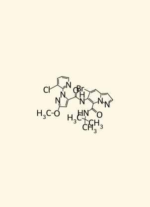 COc1cc(C(=O)Nc2c(Br)cc3ccnn3c2C(=O)NC(C)(C)C)n(-c2ncccc2Cl)n1